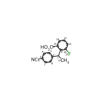 CC(c1ccc(C#N)cc1)c1c(F)cccc1C(=O)O